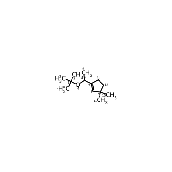 [CH2]C(C)(C)OC(C)C1=CC(C)(C)CC1